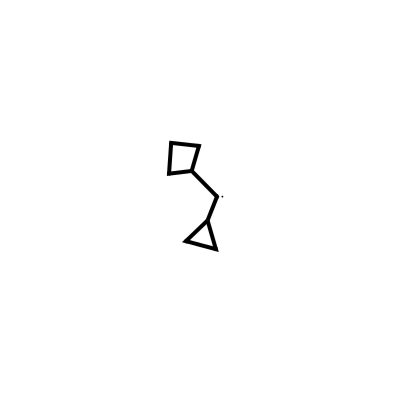 [CH](C1CCC1)C1CC1